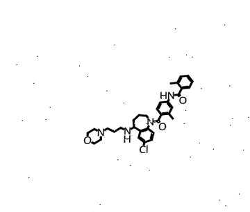 Cc1ccccc1C(=O)Nc1ccc(C(=O)N2CCCC(NCCCN3CCOCC3)c3cc(Cl)ccc32)c(C)c1